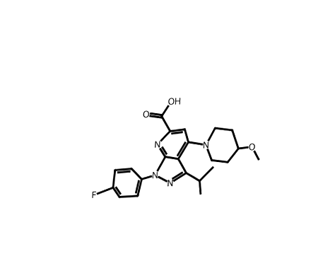 COC1CCN(c2cc(C(=O)O)nc3c2c(C(C)C)nn3-c2ccc(F)cc2)CC1